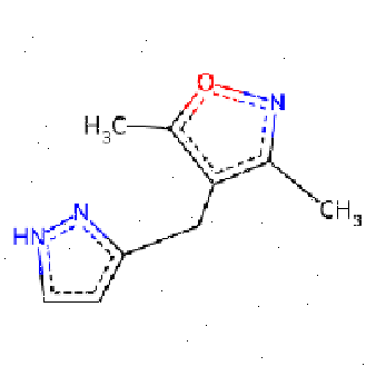 Cc1noc(C)c1Cc1cc[nH]n1